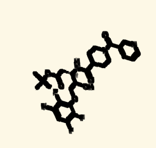 CC(C)(C)OC(=O)C[C@H](NC(=O)C1CCN(C(=O)c2cccnc2)CC1)C(O)COc1c(F)c(F)cc(F)c1F